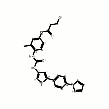 Cc1cc(NC(=O)CCCl)ccc1NC(=O)Oc1cc(-c2ccc(-n3cccn3)cc2)[nH]n1